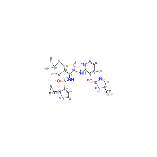 O=C(N[C@H](C(=O)Nc1cc(CN2C[C@@H](C(F)(F)F)NC2=O)ccn1)C1CCC(F)(F)CC1)c1ccnn1C1CC1